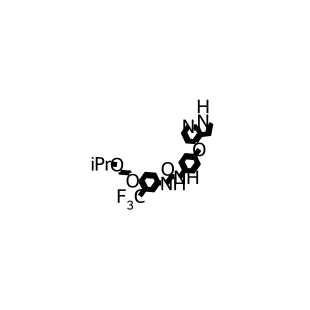 CC(C)OCCOc1ccc(NC(=O)Nc2ccc(Oc3ccnc4[nH]ccc34)cc2)cc1C(F)(F)F